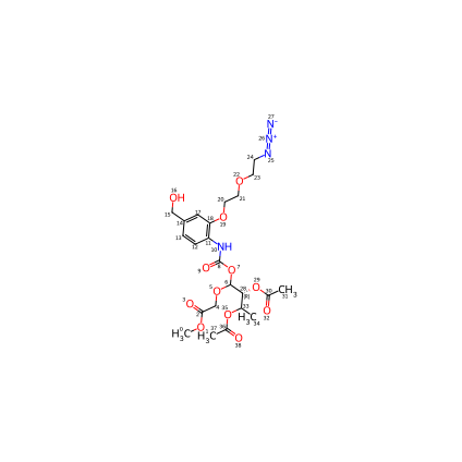 COC(=O)COC(OC(=O)Nc1ccc(CO)cc1OCCOCCN=[N+]=[N-])[C@H](OC(C)=O)C(C)OC(C)=O